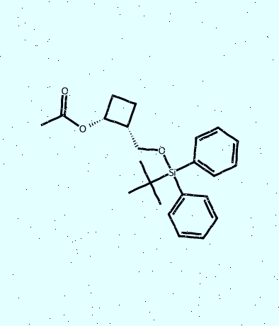 CC(=O)O[C@@H]1CC[C@@H]1CO[Si](c1ccccc1)(c1ccccc1)C(C)(C)C